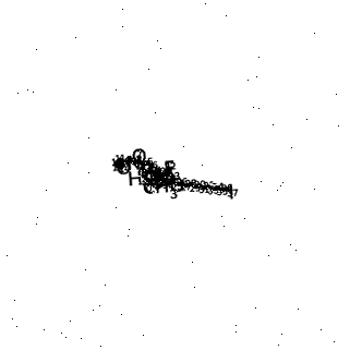 CC1Sc2cc(C(=O)NCc3ccco3)ccc2N(Cc2c(F)cc(OCCCCCCCCCCCI)cc2F)C1=O